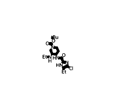 CCN[C@H]1CN(C(=O)OC(C)(C)C)CC[C@@H]1NC(=O)c1nc(Cl)c(CC)[nH]1